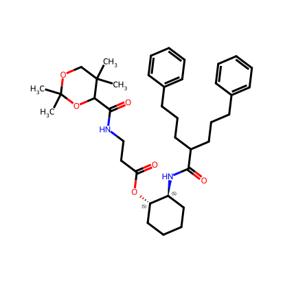 CC1(C)OCC(C)(C)C(C(=O)NCCC(=O)O[C@H]2CCCC[C@@H]2NC(=O)C(CCCc2ccccc2)CCCc2ccccc2)O1